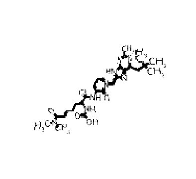 Cc1nc(CC(C)(C)C)c2nc(Cn3cccc(NC(=O)C(CCC=CC(=O)N(C)C)NC(=O)O)c3=O)[nH]c2n1